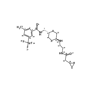 Cc1cc(C(=O)NC[C@H]2CC[C@H](NCCNC(=O)CC3CC3)CC2)cc(C(F)(F)F)c1